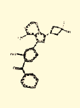 COc1cc(-c2nc([C@H]3C[C@](C)(O)C3)n3ncnc(N)c23)ccc1C(=O)c1ccccc1